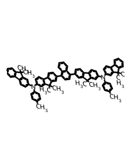 Cc1ccc(N(c2ccc3c(c2)C(C)(C)c2ccccc2-3)c2ccc3c(c2)C(C)(C)c2cc(-c4ccc(-c5ccc6c(c5)C(C)(C)c5cc(N(c7ccc(C)cc7)c7ccc8c(c7)C(C)(C)c7ccccc7-8)ccc5-6)c5ccccc45)ccc2-3)cc1